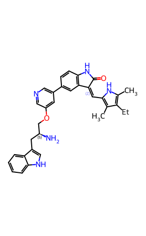 CCc1c(C)[nH]c(/C=C2\C(=O)Nc3ccc(-c4cncc(OC[C@@H](N)Cc5c[nH]c6ccccc56)c4)cc32)c1C